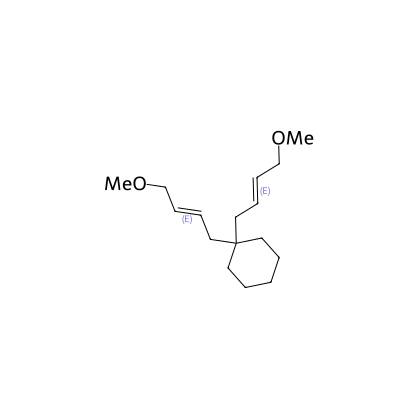 COC/C=C/CC1(C/C=C/COC)CCCCC1